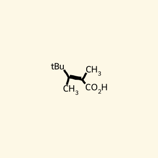 CC(C(=O)O)=C(C)C(C)(C)C